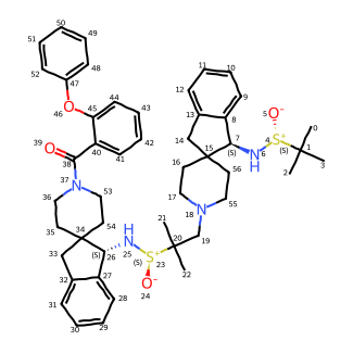 CC(C)(C)[S@@+]([O-])N[C@@H]1c2ccccc2CC12CCN(CC(C)(C)[S@@+]([O-])N[C@@H]1c3ccccc3CC13CCN(C(=O)c1ccccc1Oc1ccccc1)CC3)CC2